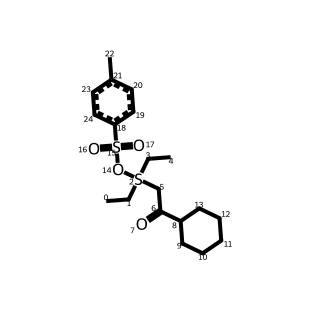 CCS(CC)(CC(=O)C1CCCCC1)OS(=O)(=O)c1ccc(C)cc1